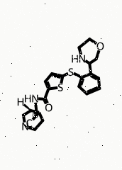 O=C(N[C@H]1CN2CCC1CC2)c1ccc(Sc2ccccc2C2COCCN2)s1